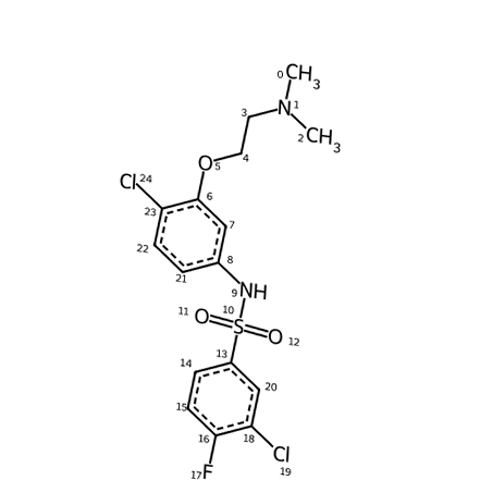 CN(C)CCOc1cc(NS(=O)(=O)c2ccc(F)c(Cl)c2)ccc1Cl